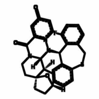 O=C1c2cc(=O)ccn2N([C@@H]2c3ccccc3SCc3cccc(F)c32)[C@@H]2[C@H]3C[C@@H]4CC[C@@]3(CCN12)O4